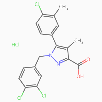 Cc1cc(-c2c(C)c(C(=O)O)nn2Cc2ccc(Cl)c(Cl)c2)ccc1Cl.Cl